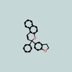 C1=CC(c2ccccc2)(c2ccc3c(c2)CCO3)Oc2ccc3ccccc3c21